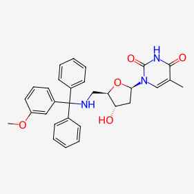 COc1cccc(C(NC[C@H]2O[C@@H](n3cc(C)c(=O)[nH]c3=O)C[C@@H]2O)(c2ccccc2)c2ccccc2)c1